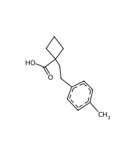 Cc1ccc(CCC2(C(=O)O)CCC2)cc1